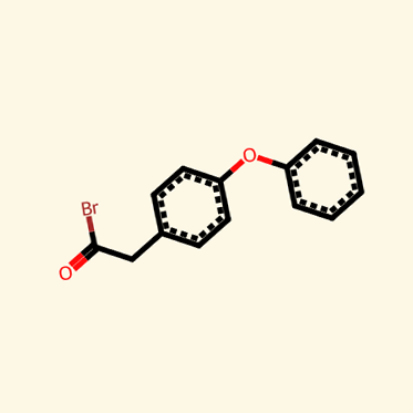 O=C(Br)Cc1ccc(Oc2ccccc2)cc1